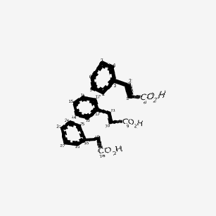 O=C(O)/C=C/c1ccccc1.O=C(O)CCc1ccccc1.O=C(O)Cc1ccccc1